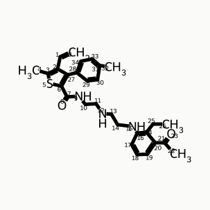 C=Cc1c(C)sc(C(=O)NCCNCCNc2cccc(C(C)=O)c2CC)c1-c1ccc(C)cc1